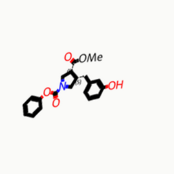 COC(=O)[C@H]1CN(C(=O)Oc2ccccc2)C[C@H]1Cc1cccc(O)c1